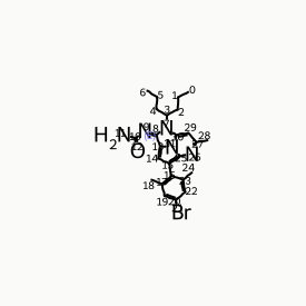 CCCC(CCC)n1/c(=N/C(N)=O)c2cc(-c3c(C)cc(Br)cc3C)c3nc(C)cc1n32